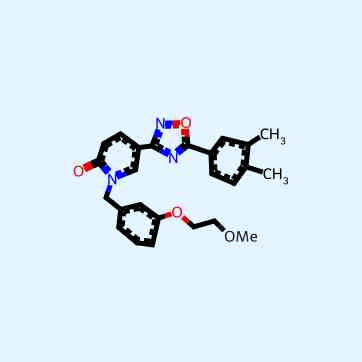 COCCOc1cccc(Cn2cc(-c3noc(-c4ccc(C)c(C)c4)n3)ccc2=O)c1